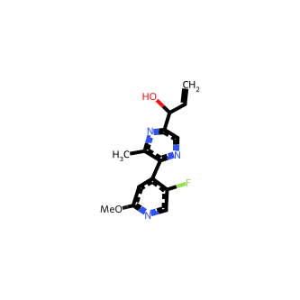 C=CC(O)c1cnc(-c2cc(OC)ncc2F)c(C)n1